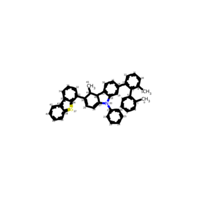 Cc1ccccc1-c1c(C)cccc1-c1ccc2c(c1)N(c1ccccc1)C1=CC=C(c3cccc4c3sc3ccccc34)C(C)C12